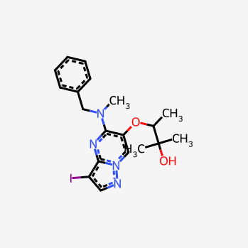 CC(Oc1cn2ncc(I)c2nc1N(C)Cc1ccccc1)C(C)(C)O